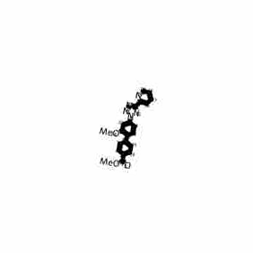 COC(=O)c1ccc(-c2ccc(-n3nnc(-c4ccccn4)n3)cc2OC)cc1